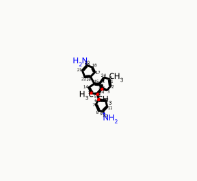 CC1=CC2c3c(-c4ccc(N)cc4)ccc(-c4ccc(N)cc4)c3C1CC2C(C)C